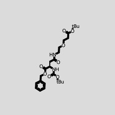 CC(C)(C)OC(=O)CCOCCNC(=O)C[C@@H](NC(=O)OC(C)(C)C)C(=O)OCc1ccccc1